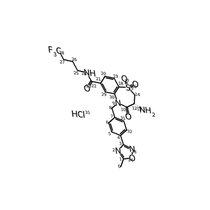 Cc1nc(-c2ccc(CN3C(=O)[C@@H](N)CS(=O)(=O)c4ccc(C(=O)NCCCC(F)(F)F)cc43)cc2)no1.Cl